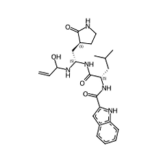 C=CC(O)N[C@H](C[C@@H]1CCNC1=O)NC(=O)[C@H](CC(C)C)NC(=O)c1cc2ccccc2[nH]1